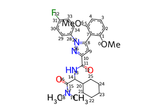 COc1cccc(OC)c1-c1cc(C(=O)NC(C(=O)N(C)C)C2CCCCC2)nn1-c1ccc(F)cc1